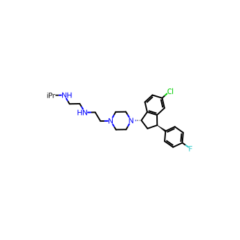 CC(C)NCCNCCN1CCN([C@H]2C[C@H](c3ccc(F)cc3)c3cc(Cl)ccc32)CC1